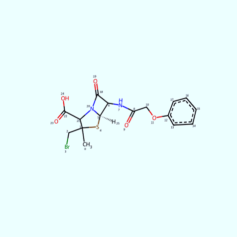 CC1(CBr)S[C@@H]2C(NC(=O)COc3ccccc3)C(=O)N2C1C(=O)O